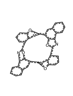 c1ccc2c(c1)cc1c3nc4c(cccc4c4nc5c6ccccc6cc(c6nc7c(cccc7c7nc2c1o7)o6)c5o4)o3